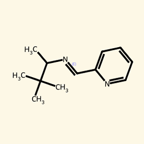 CC(/N=C/c1ccccn1)C(C)(C)C